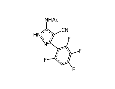 CC(=O)Nc1[nH]nc(-c2c(F)cc(F)c(F)c2F)c1C#N